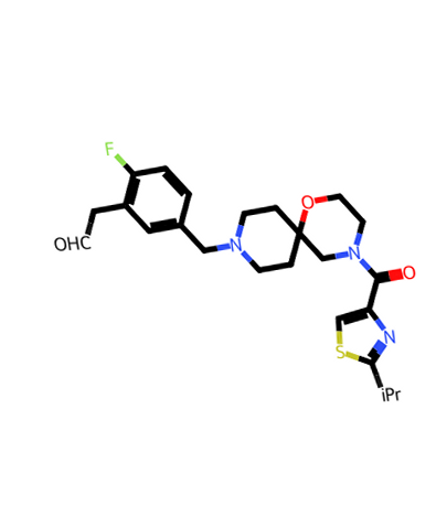 CC(C)c1nc(C(=O)N2CCOC3(CCN(Cc4ccc(F)c(CC=O)c4)CC3)C2)cs1